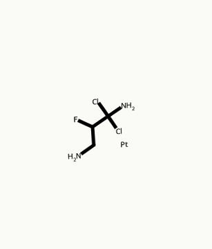 NCC(F)C(N)(Cl)Cl.[Pt]